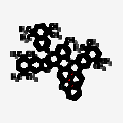 Cc1cc2c3c(c1)N(c1ccc4c(c1)C(C)(C)CCC4(C)C)c1c(oc4cc5c(cc14)C(C)(C)CCC5(C)C)B3c1cc3oc4ccccc4c3cc1N2c1cc2c(cc1-c1ccccc1)C(C)(C)CCC2(C)C